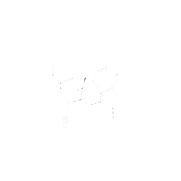 Cc1[nH]c2cccc3c2c1C[C@@H]1[C@@H]3CC(CO)CN1C#N